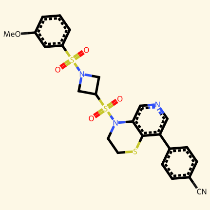 COc1cccc(S(=O)(=O)N2CC(S(=O)(=O)N3CCSc4c(-c5ccc(C#N)cc5)cncc43)C2)c1